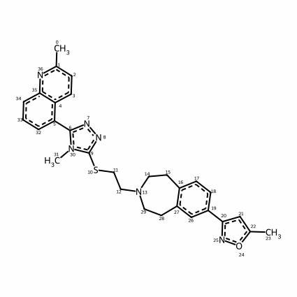 Cc1ccc2c(-c3nnc(SCCN4CCc5ccc(-c6cc(C)on6)cc5CC4)n3C)cccc2n1